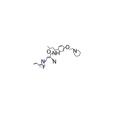 C=C\C=C(F)/N=C/C=C(\C#N)C(=O)NC(CCC)C1C=CC(OCCN2CCCCC2)=CC1